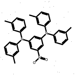 Cc1cccc(N(c2cccc(C)c2)c2cc(N(c3cccc(C)c3)c3cccc(C)c3)cc([N+](=O)[O-])c2)c1